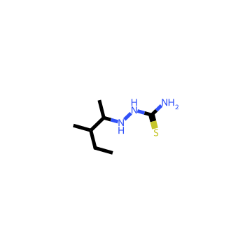 CCC(C)C(C)NNC(N)=S